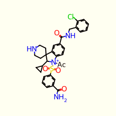 CC(=O)[N+]1(S(=O)(=O)c2cccc(C(N)=O)c2)c2ccc(C(=O)NCc3ccccc3Cl)cc2C2(CCNCC2)C1C1CC1